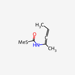 CC=C=C(C)NC(=O)SC